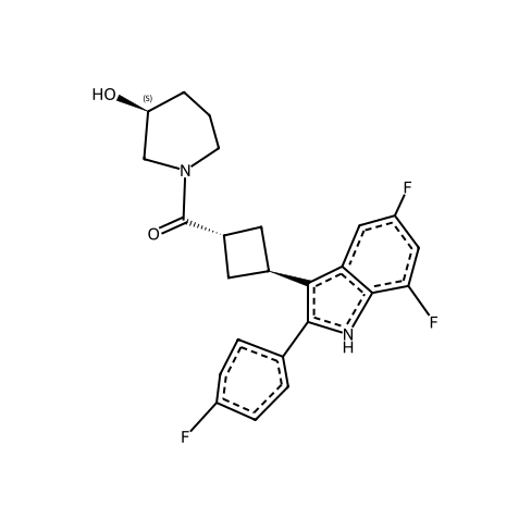 O=C([C@H]1C[C@H](c2c(-c3ccc(F)cc3)[nH]c3c(F)cc(F)cc32)C1)N1CCC[C@H](O)C1